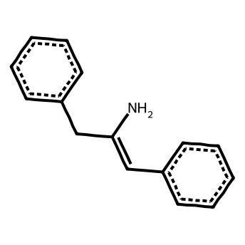 NC(=Cc1ccccc1)Cc1ccccc1